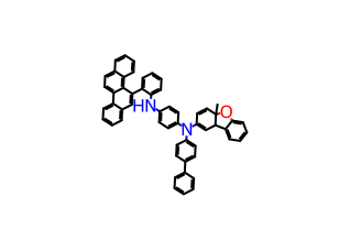 CC12C=CC(N(c3ccc(Nc4ccccc4-c4cc5ccccc5c5ccc6ccccc6c45)cc3)c3ccc(-c4ccccc4)cc3)=CC1c1ccccc1O2